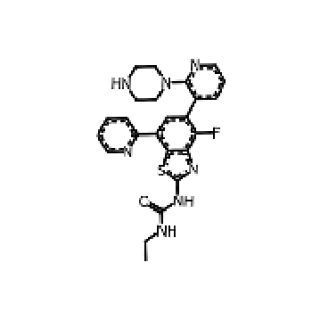 CCNC(=O)Nc1nc2c(F)c(-c3cccnc3N3CCNCC3)cc(-c3ccccn3)c2s1